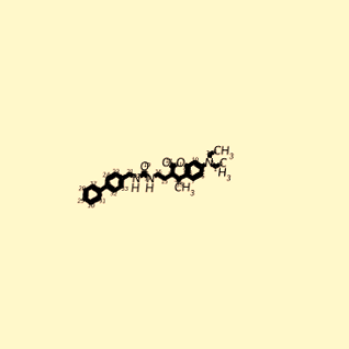 CCN(CC)c1ccc2c(c1)OC(=O)C(CCNC(=O)NCc1ccc(-c3ccccc3)cc1)C2C